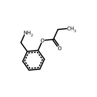 CCC(=O)Oc1ccccc1CN